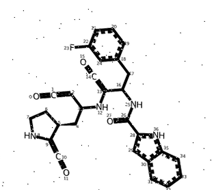 O=C=CC(C[C@@H]1CCNC1=C=O)NC(=C=O)C(Cc1cccc(F)c1)NC(=O)c1cc2ccccc2[nH]1